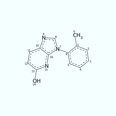 Cc1ccccc1-n1cnc2ccc(O)nc21